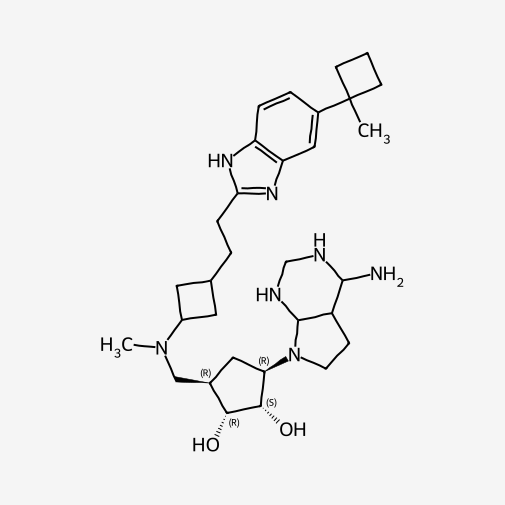 CN(C[C@H]1C[C@@H](N2CCC3C(N)NCNC32)[C@H](O)[C@@H]1O)C1CC(CCc2nc3cc(C4(C)CCC4)ccc3[nH]2)C1